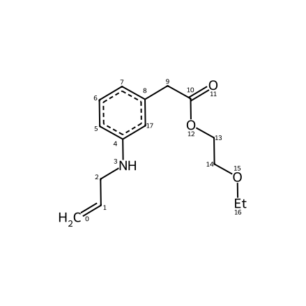 C=CCNc1cccc(CC(=O)OCCOCC)c1